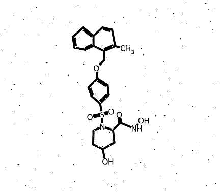 Cc1ccc2ccccc2c1COc1ccc(S(=O)(=O)N2CCC(O)CC2C(=O)NO)cc1